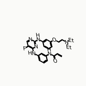 C=CC(=O)Nc1cccc(Nc2nc(Nc3cccc(OCCN(CC)CC)c3)ncc2F)c1